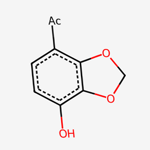 CC(=O)c1ccc(O)c2c1OCO2